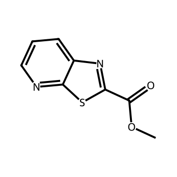 COC(=O)c1nc2cccnc2s1